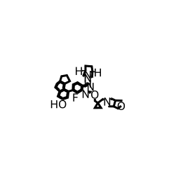 Oc1cc(-c2ccc3c(N4C[C@H]5CC[C@@H](C4)N5)nc(OCC4(CN5CC6COCC6C5)CC4)nc3c2F)c2c3c(ccc2c1)CCC3